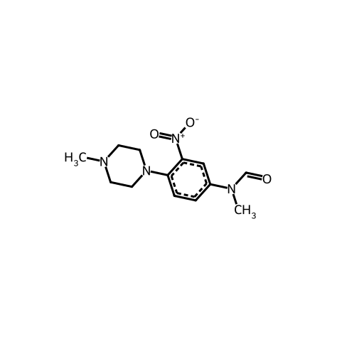 CN1CCN(c2ccc(N(C)C=O)cc2[N+](=O)[O-])CC1